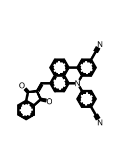 N#Cc1ccc(N2c3ccc(C#N)cc3-c3cccc4c(C=C5C(=O)c6ccccc6C5=O)ccc2c34)cc1